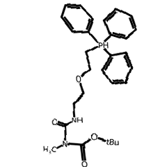 CN(C(=O)NCCOCC[PH](c1ccccc1)(c1ccccc1)c1ccccc1)C(=O)OC(C)(C)C